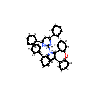 c1ccc(-c2cc(-c3ccccc3)nc(-n3c4c(c5cccc(-c6ccccc6)c53)-c3ccccc3Oc3ccccc3-4)n2)cc1